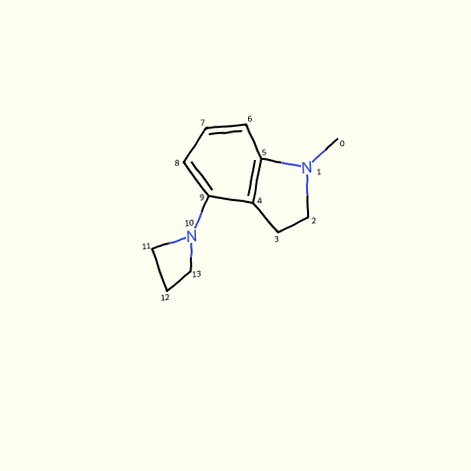 CN1CCc2c1cccc2N1CCC1